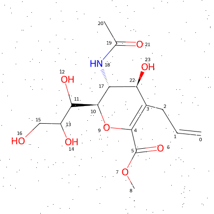 C=CCC1=C(C(=O)OC)O[C@@H](C(O)C(O)CO)[C@H](NC(C)=O)[C@H]1O